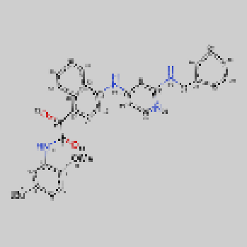 COc1ccc(C(C)(C)C)cc1NC(=O)C(=O)c1ccc(Nc2ccnc(NCc3ccccc3)c2)c2ccccc12